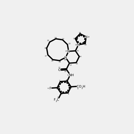 O=C(O)c1cc(C(F)(F)F)c(F)cc1NC(=O)C1CCC(n2ccnc2)N2CCCCCCCCN12